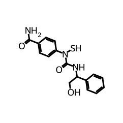 NC(=O)c1ccc(N(S)C(=O)NC(CO)c2ccccc2)cc1